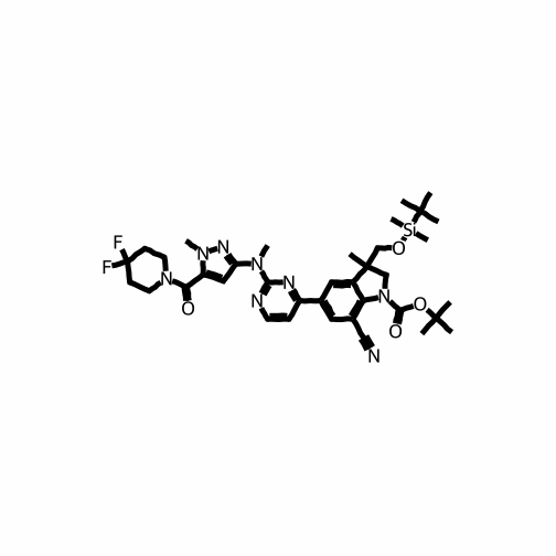 CN(c1cc(C(=O)N2CCC(F)(F)CC2)n(C)n1)c1nccc(-c2cc(C#N)c3c(c2)C(C)(CO[Si](C)(C)C(C)(C)C)CN3C(=O)OC(C)(C)C)n1